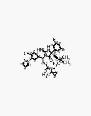 CC1(NC(=O)OCC(c2ccc(Cl)c(-n3cccn3)c2)N2C(=N)N[C@](C#CC(C)(C)C(F)(F)F)(c3cc(F)cc(F)c3)C2=O)CC1